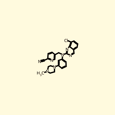 CN1CCN(c2cccc(N(Cc3ccc(C#N)nc3)c3ncc4cccc(Cl)c4n3)c2)CC1